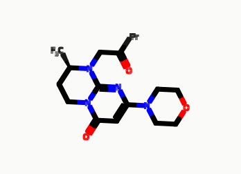 CC(C)C(=O)CN1c2nc(N3CCOCC3)cc(=O)n2CC[C@H]1C(F)(F)F